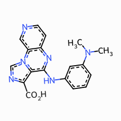 CN(C)c1cccc(Nc2nc3ccncc3n3cnc(C(=O)O)c23)c1